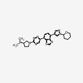 CN(C)C1CCN(c2ncc(-c3ccc(-c4cnn(C5CCCCO5)c4)c4ncsc34)nn2)C1